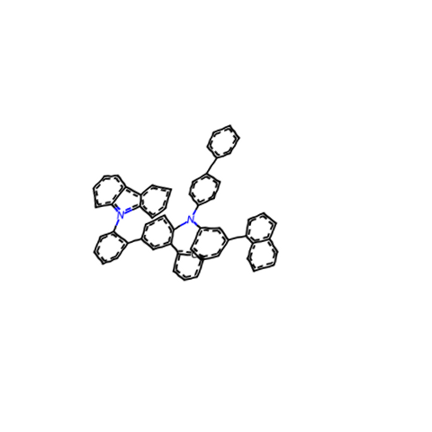 c1ccc(-c2ccc(N(c3cccc(-c4cccc5ccccc45)c3)c3ccc(-c4ccccc4-n4c5ccccc5c5ccccc54)cc3-c3ccccc3)cc2)cc1